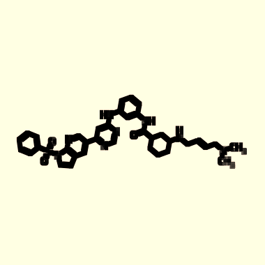 CN(C)C/C=C/CNC1CCCC(C(=O)Nc2cccc(Nc3cc(-c4cnc5c(ccn5S(=O)(=O)c5ccccc5)c4)ncn3)c2)C1